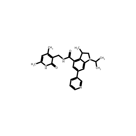 Cc1cc(C)c(CNC(=O)c2cc(-c3cccnc3)cc3c2C(C)CN3C(C)C)c(=O)[nH]1